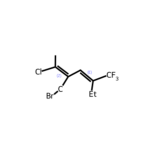 CC/C(=C\C(CBr)=C(/C)Cl)C(F)(F)F